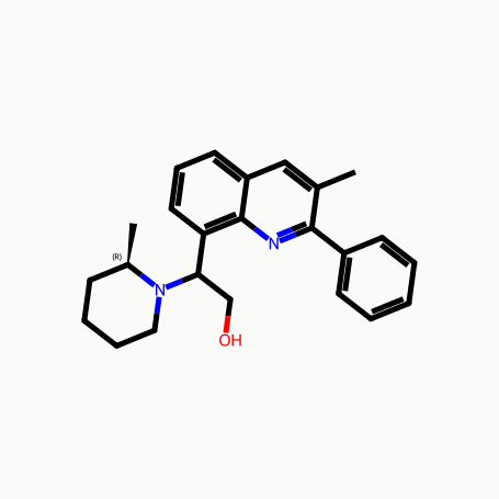 Cc1cc2cccc(C(CO)N3CCCC[C@H]3C)c2nc1-c1ccccc1